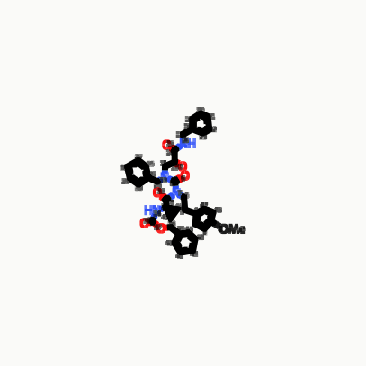 COc1ccc(CCN(C(=O)N(CC(=O)C(=O)NCc2ccccc2)Cc2ccccc2)C(=O)C2(NC(=O)OCc3ccccc3)CC2)cc1